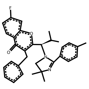 Cc1ccc(C2=NC(C)(C)CN2[C@@H](c2oc3cc(F)ccc3c(=O)c2Cc2ccccc2)C(C)C)cc1